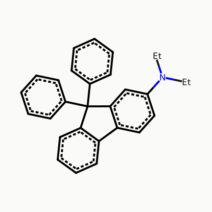 CCN(CC)c1ccc2c(c1)C(c1ccccc1)(c1ccccc1)c1ccccc1-2